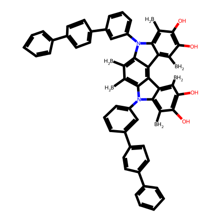 Bc1c(O)c(O)c(B)c2c1c1c3c4c(B)c(O)c(O)c(B)c4n(-c4cccc(-c5ccc(-c6ccccc6)cc5)c4)c3c(B)c(B)c1n2-c1cccc(-c2ccc(-c3ccccc3)cc2)c1